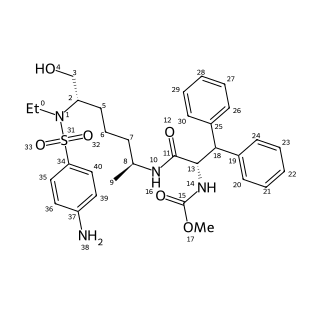 CCN([C@H](CO)CCC[C@H](C)NC(=O)[C@@H](NC(=O)OC)C(c1ccccc1)c1ccccc1)S(=O)(=O)c1ccc(N)cc1